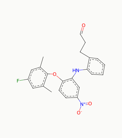 Cc1cc(F)cc(C)c1Oc1ccc([N+](=O)[O-])cc1Nc1ccccc1CCC=O